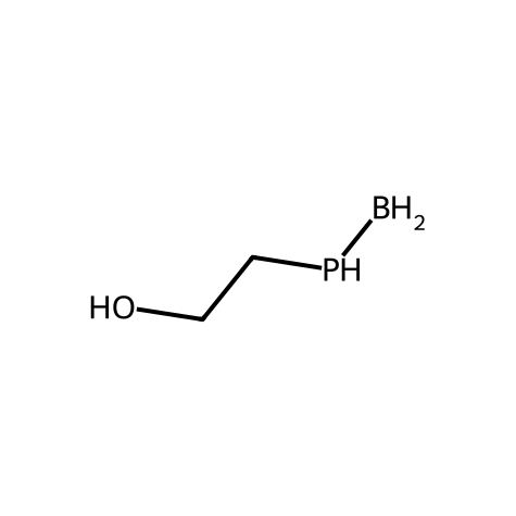 BPCCO